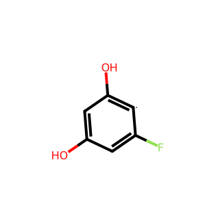 Oc1[c]c(F)cc(O)c1